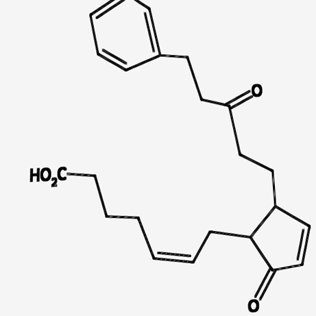 O=C(O)CCC/C=C\CC1C(=O)C=CC1CCC(=O)CCc1ccccc1